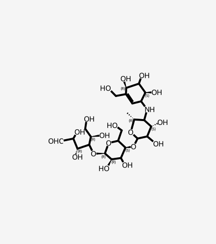 C[C@H]1OC(O[C@@H]2C(CO)O[C@H](OC([C@H](O)C(O)C=O)[C@H](O)CO)[C@H](O)C2O)C(O)[C@@H](O)C1NC1C=C(CO)[C@@H](O)C(O)[C@H]1O